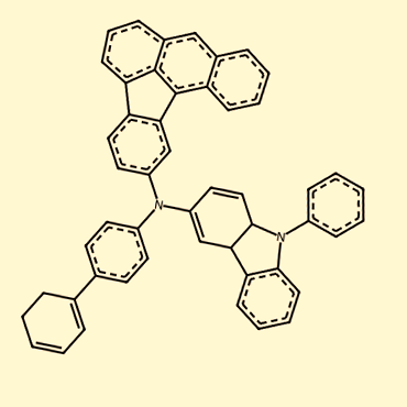 C1=CCCC(c2ccc(N(C3=CC4c5ccccc5N(c5ccccc5)C4C=C3)c3ccc4c(c3)-c3c5ccccc5cc5cccc-4c35)cc2)=C1